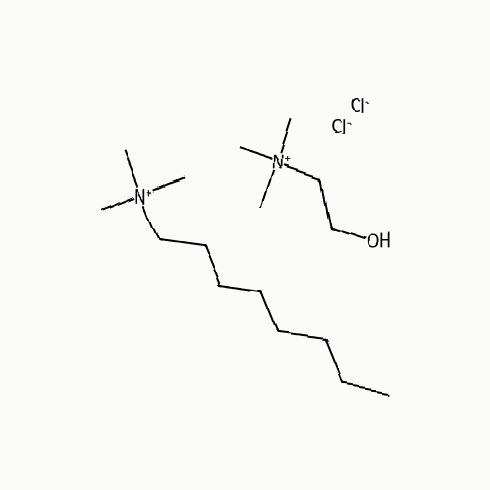 CCCCCCCC[N+](C)(C)C.C[N+](C)(C)CCO.[Cl-].[Cl-]